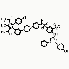 Cc1c(C(=O)O)c(-c2cccc(N3CCN(c4ccc(NS(=O)(=O)c5ccc(N[C@H](CCN6CCC(O)CC6)CSc6ccccc6)c(S(=O)(=O)F)c5)cc4)CC3)c2)c(-c2ccc(Cl)cc2)n1C(C)C